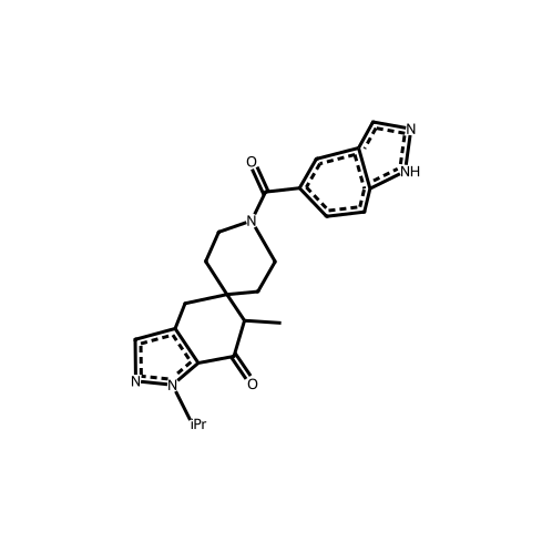 CC(C)n1ncc2c1C(=O)C(C)C1(CCN(C(=O)c3ccc4[nH]ncc4c3)CC1)C2